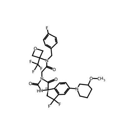 COC1CCCN(c2ccc3c(c2)C(F)(F)C[C@]32NC(=O)N(CC(=O)N(Cc3ccc(F)cc3)C3(C(F)(F)F)COC3)C2=O)C1